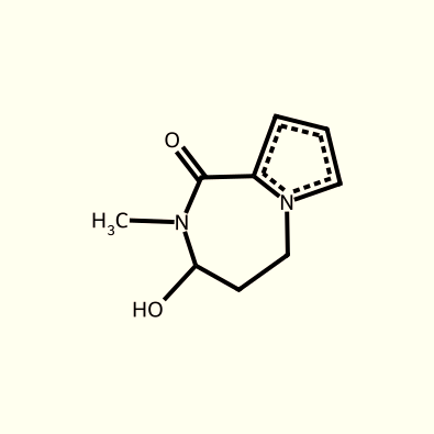 CN1C(=O)c2cccn2CCC1O